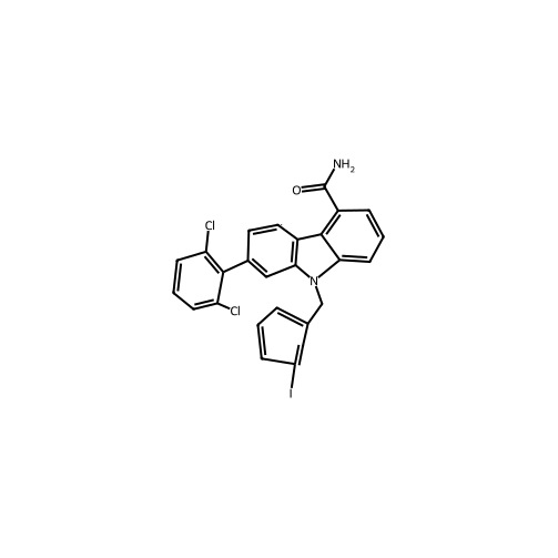 NC(=O)c1cccc2c1c1[c]cc(-c3c(Cl)cccc3Cl)cc1n2Cc1cccc(I)c1